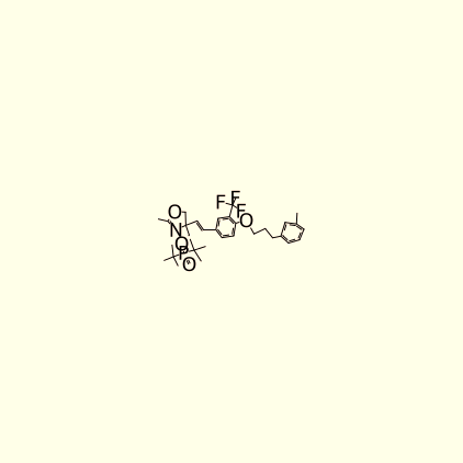 CC1=NC(C=Cc2ccc(OCCCc3cccc(C)c3)c(C(F)(F)F)c2)(COP(=O)(C(C)(C)C)C(C)(C)C)CO1